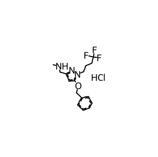 CNCc1cc(OCc2ccccc2)n(CCCC(F)(F)F)n1.Cl